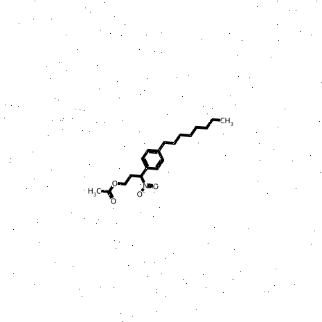 CCCCCCCCc1ccc(C(CCOC(C)=O)[N+](=O)[O-])cc1